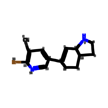 N#Cc1cc(C2=CC3NCCC3CC2)cnc1Br